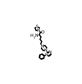 N[C@@H](CCCCN1CCN(c2nccn2-c2ccccc2)CC1)C(=O)N1CCSC1